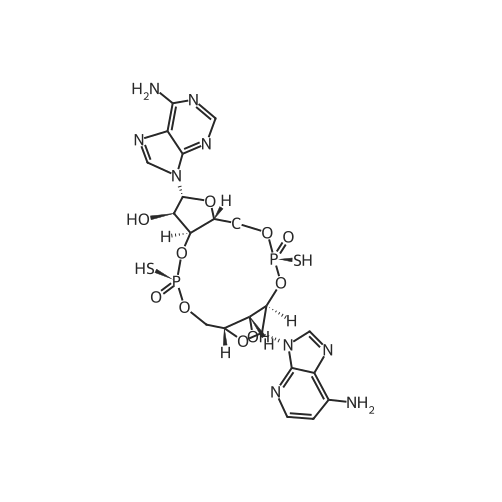 Nc1ncnc2c1ncn2[C@@H]1O[C@@H]2CO[P@@](=O)(S)O[C@@H]3[C@H](O)[C@@H](CO[P@@](=O)(S)O[C@H]2[C@H]1O)O[C@H]3n1cnc2c(N)ccnc21